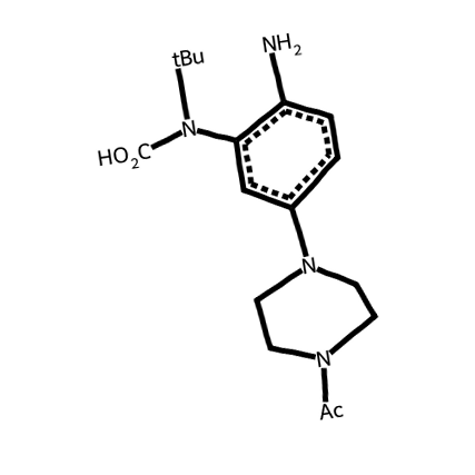 CC(=O)N1CCN(c2ccc(N)c(N(C(=O)O)C(C)(C)C)c2)CC1